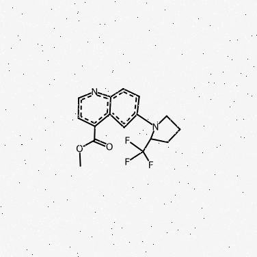 COC(=O)c1ccnc2ccc(N3CCCC3C(F)(F)F)cc12